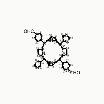 O=Cc1ccc(-c2c3nc(c(-c4cncs4)c4ccc([nH]4)c(-c4ccc(C=O)cc4)c4nc(c(-c5cncs5)c5ccc2[nH]5)C=C4)C=C3)cc1